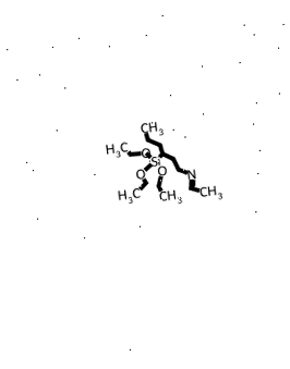 C/C=N/CCC(CCC)[Si](OCC)(OCC)OCC